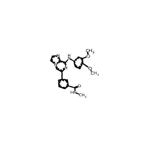 CNC(=O)c1cccc(-c2cn3ccnc3c(Nc3ccc(OC)c(OC)c3)n2)c1